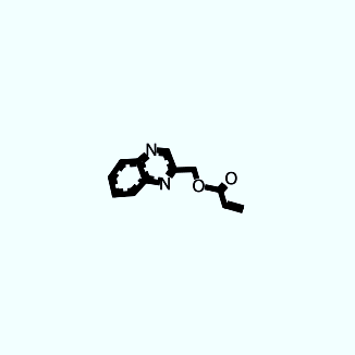 C=CC(=O)OCc1cnc2ccccc2n1